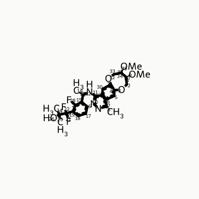 CO[C@@H]1COc2cc3c(C)nnc(N[C@H](C)c4cccc(C(F)(F)C(C)(C)O)c4F)c3cc2OC[C@H]1OC